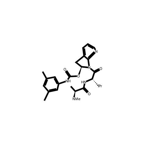 CN[C@@H](C)C(=O)N[C@H](C(=O)N1c2ncccc2C[C@@H]1OC(=O)Nc1cc(C)cc(C)c1)C(C)C